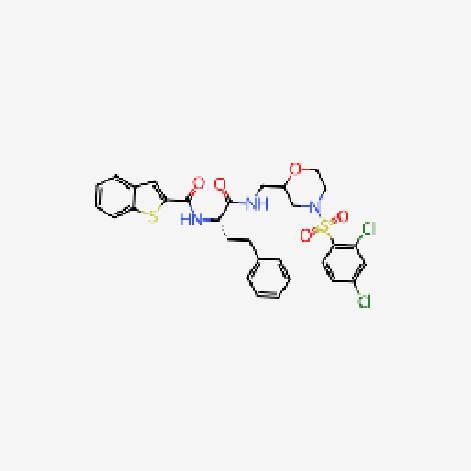 O=C(N[C@@H](CCc1ccccc1)C(=O)NCC1CN(S(=O)(=O)c2ccc(Cl)cc2Cl)CCO1)c1cc2ccccc2s1